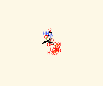 CC#CC1(F)[C@@H](O)[C@@H](COP(=O)(O)OP(=O)(O)OP(=O)(O)O)O[C@H]1n1ncc(=O)[nH]c1=O